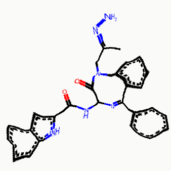 C/C(CN1C(=O)C(NC(=O)c2cc3ccccc3[nH]2)N=C(c2ccccc2)c2ccccc21)=N\N